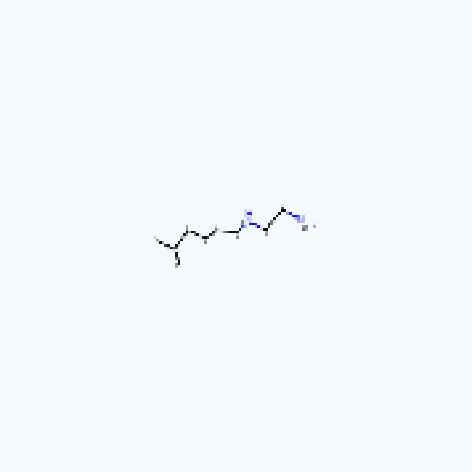 CC(C)[CH]CCCNCCN